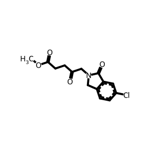 COC(=O)CCC(=O)CN1Cc2ccc(Cl)cc2C1=O